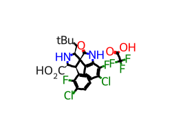 CC(C)(C)C[C@@H]1N[C@@H](C(=O)O)[C@H](c2cccc(Cl)c2F)[C@]12C(=O)Nc1c2ccc(Cl)c1F.O=C(O)C(F)(F)F